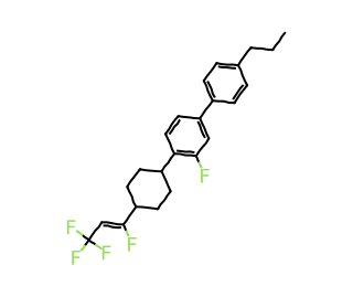 CCCc1ccc(-c2ccc(C3CCC(/C(F)=C/C(F)(F)F)CC3)c(F)c2)cc1